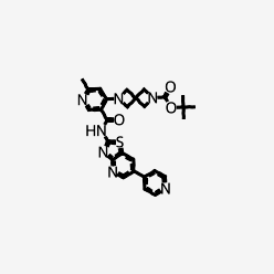 Cc1cc(N2CC3(CN(C(=O)OC(C)(C)C)C3)C2)c(C(=O)Nc2nc3ncc(-c4ccncc4)cc3s2)cn1